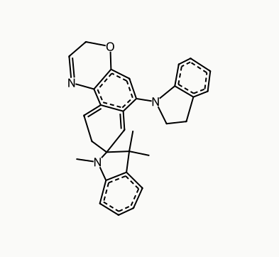 CN1c2ccccc2C(C)(C)C12C=c1c(N3CCc4ccccc43)cc3c(c1=CC2)N=CCO3